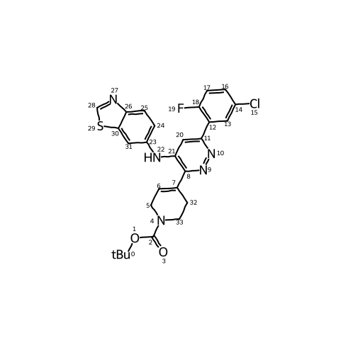 CC(C)(C)OC(=O)N1CC=C(c2nnc(-c3cc(Cl)ccc3F)cc2Nc2ccc3ncsc3c2)CC1